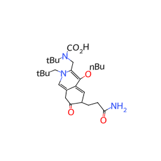 CCCCOC1=C(CN(C(=O)O)C(C)(C)C)N(CC(C)(C)C)C=C2CC(=O)C(CCC(N)=O)C=C21